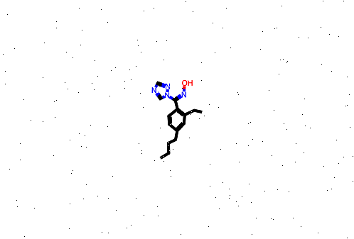 CCCCc1ccc(C(=NO)n2cncn2)c(CC)c1